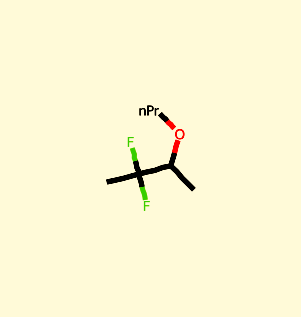 CCCOC(C)C(C)(F)F